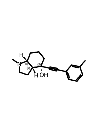 Cc1cccc(C#C[C@]2(O)CCC[C@@H]3[C@H]2CCN3C)c1